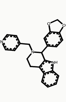 c1ccc2c3c([nH]c2c1)C(c1ccc2c(c1)OCO2)N(Cc1ccncc1)CC3